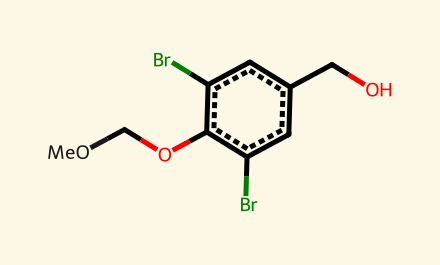 COCOc1c(Br)cc(CO)cc1Br